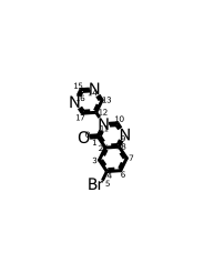 O=c1c2cc(Br)ccc2ncn1-c1cncnc1